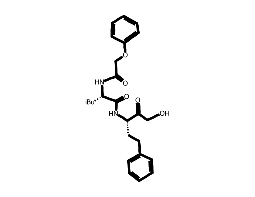 CCC(C)[C@H](NC(=O)COc1ccccc1)C(=O)N[C@@H](CCc1ccccc1)C(=O)CO